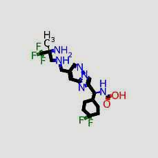 C[C@](N)(CNCc1cnn2cc([C@@H](NC(=O)O)C3CCC(F)(F)CC3)nc2c1)C(F)(F)F